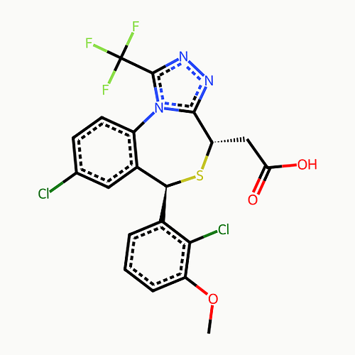 COc1cccc([C@@H]2S[C@@H](CC(=O)O)c3nnc(C(F)(F)F)n3-c3ccc(Cl)cc32)c1Cl